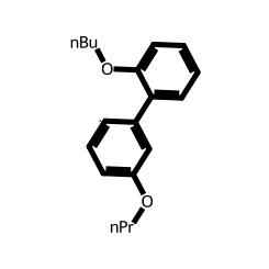 CCCCOc1ccccc1-c1[c]ccc(OCCC)c1